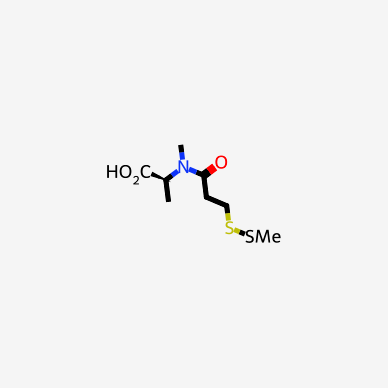 CSSCCC(=O)N(C)[C@@H](C)C(=O)O